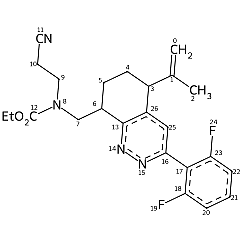 C=C(C)C1CCC(CN(CCC#N)C(=O)OCC)c2nnc(-c3c(F)cccc3F)cc21